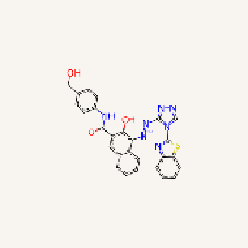 O=C(Nc1ccc(CO)cc1)c1cc2ccccc2c(/N=N/c2nncn2-c2nc3ccccc3s2)c1O